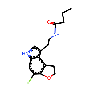 CCCC(=O)NCCc1c[nH]c2cc(F)c3c(c12)CCO3